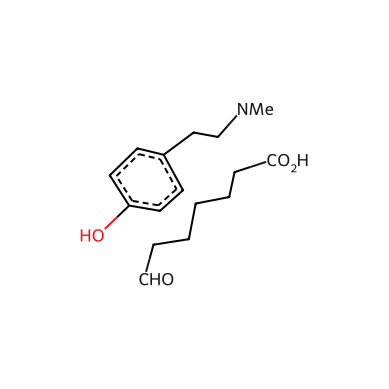 CNCCc1ccc(O)cc1.O=CCCCCCC(=O)O